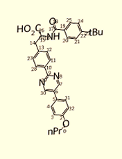 CCCOc1ccc(-c2cnc(-c3ccc(C[C@H](NC(=O)c4ccc(C(C)(C)C)cc4)C(=O)O)cc3)nc2)cc1